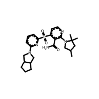 CC1CN(c2nccc(S(=O)(=O)c3cccc(N4CC5CCCC5C4)n3)c2C(N)=O)C(C)(C)C1